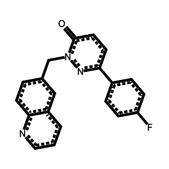 O=c1ccc(-c2ccc(F)cc2)nn1Cc1ccc2ncccc2c1